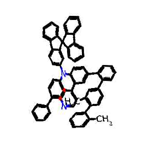 Cc1ccccc1-c1ccc(-c2ccccc2-c2ccc(N(c3ccc(-c4ccccc4)cc3)c3ccc4c(c3)C3(c5ccccc5-c5ccccc53)c3ccccc3-4)c(-c3ccncc3)c2)cc1C